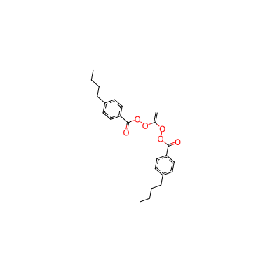 C=C(OOC(=O)c1ccc(CCCC)cc1)OOC(=O)c1ccc(CCCC)cc1